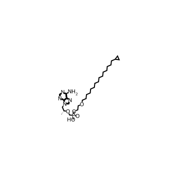 C[C@H](Cn1cnc2c(N)ncnc21)OCP(=O)(O)OCCOCCCCCCCCCCCCCCCC1CC1